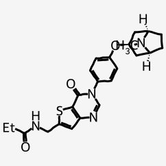 CCC(=O)NCc1cc2ncn(-c3ccc(O[C@H]4C[C@H]5CC[C@@H](C4)N5C)cc3)c(=O)c2s1